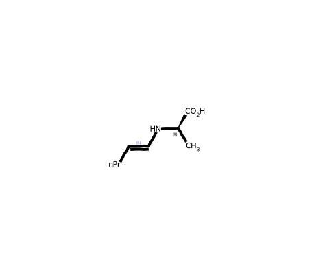 CCC/C=C/N[C@H](C)C(=O)O